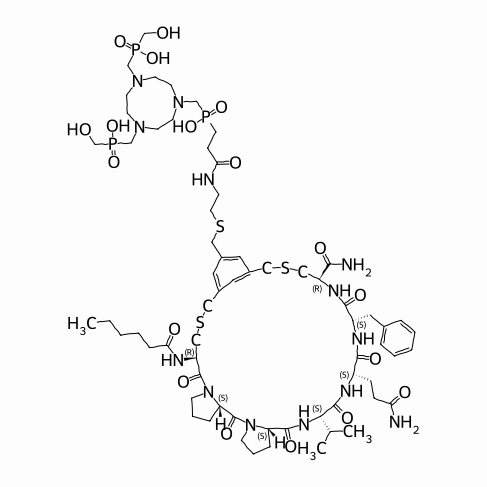 CCCCCC(=O)N[C@H]1CSCc2cc(CSCCNC(=O)CCP(=O)(O)CN3CCN(CP(=O)(O)CO)CCN(CP(=O)(O)CO)CC3)cc(c2)CSC[C@@H](C(N)=O)NC(=O)[C@H](Cc2ccccc2)NC(=O)[C@H](CCC(N)=O)NC(=O)[C@H](C(C)C)NC(=O)[C@@H]2CCCN2C(=O)[C@@H]2CCCN2C1=O